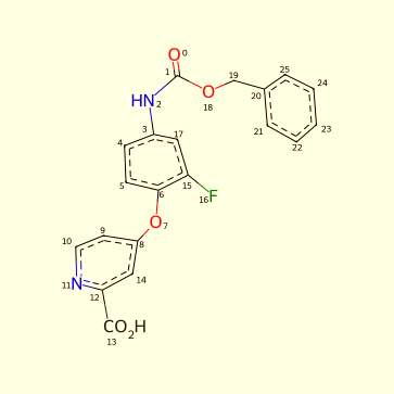 O=C(Nc1ccc(Oc2ccnc(C(=O)O)c2)c(F)c1)OCc1ccccc1